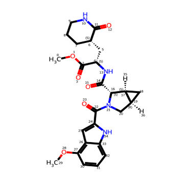 COC(=O)[C@H](C[C@@H]1CCCNC1=O)NC(=O)[C@@H]1[C@H]2C[C@H]2CN1C(=O)c1cc2c(OC)cccc2[nH]1